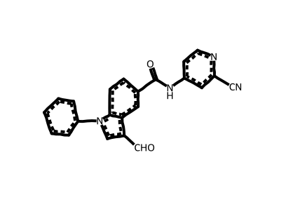 N#Cc1cc(NC(=O)c2ccc3c(c2)c(C=O)cn3-c2ccccc2)ccn1